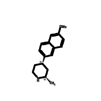 COc1ccc2cc([C@H]3CCN[C@@H](C)C3)ccc2c1